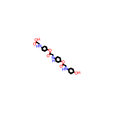 O=C(O)CNc1ccc(OC(=O)CNc2ccc(OC(=O)CNc3ccc(O)cc3)cc2)cc1